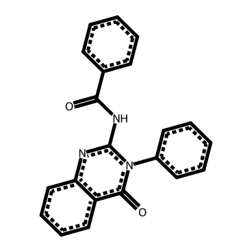 O=C(Nc1nc2ccccc2c(=O)n1-c1ccccc1)c1ccccc1